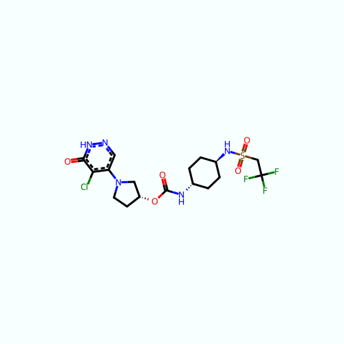 O=C(N[C@H]1CC[C@H](NS(=O)(=O)CC(F)(F)F)CC1)O[C@@H]1CCN(c2cn[nH]c(=O)c2Cl)C1